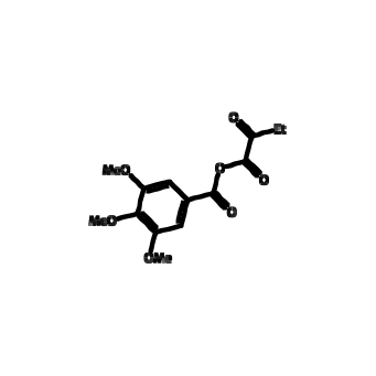 CCC(=O)C(=O)OC(=O)c1cc(OC)c(OC)c(OC)c1